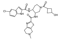 CN1CCc2nc(C(=O)NC3CN(C(=O)C4CC(O)C4)CCC3NC(=O)c3cc4cc(Cl)ccc4[nH]3)sc2C1